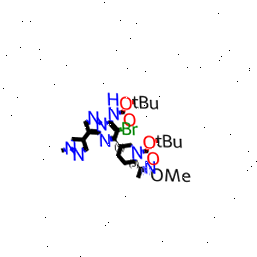 CO/N=C(\C)[C@@H]1CC[C@H](c2nc3c(C4C=NN(C)C4)cnn3c(NC(=O)OC(C)(C)C)c2Br)CN1C(=O)OC(C)(C)C